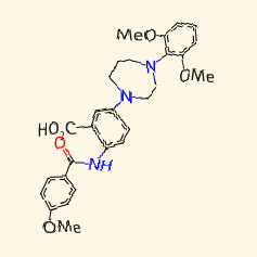 COc1ccc(C(=O)Nc2ccc(N3CCCN(c4c(OC)cccc4OC)CC3)cc2C(=O)O)cc1